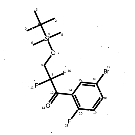 CC(C)(C)[Si](C)(C)OCC(F)(F)C(=O)c1cc(Br)ccc1F